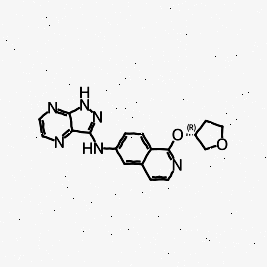 c1cc2cc(Nc3n[nH]c4nccnc34)ccc2c(O[C@@H]2CCOC2)n1